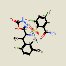 Cc1ccc(F)c(C(C)C(NS(=O)(=O)c2c(F)cc(Cl)cc2C(N)=O)c2n[nH]c(=O)o2)c1C